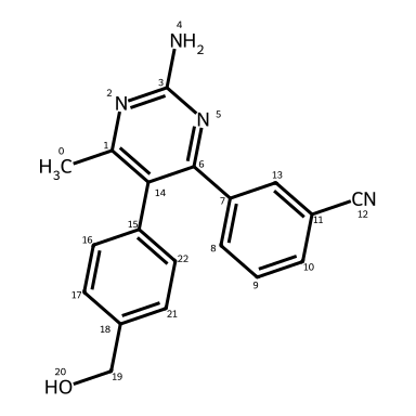 Cc1nc(N)nc(-c2cccc(C#N)c2)c1-c1ccc(CO)cc1